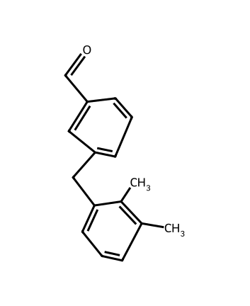 Cc1cccc(Cc2cccc(C=O)c2)c1C